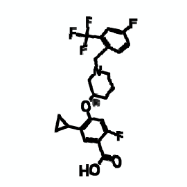 O=C(O)c1cc(C2CC2)c(O[C@@H]2CCCN(Cc3ccc(F)cc3C(F)(F)F)C2)cc1F